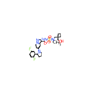 CN(CC1(CO)CCC1)S(=O)(=O)NC(=O)c1cnn2ccc(N3CCCC3c3cc(F)ccc3F)cc12